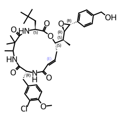 COc1ccc(C[C@H]2NC(=O)/C=C/C[C@@H]([C@H](C)[C@H]3O[C@@H]3c3ccc(CO)cc3)OC(=O)[C@H](CC(C)(C)C)NC(=O)C(C)(C)C(C)NC2=O)cc1Cl